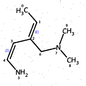 C/C=C(\C=C/N)CN(C)C